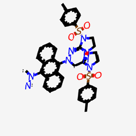 [CH]N([N])c1c2ccccc2c(N([CH]C2=NCCN2S(=O)(=O)c2ccc(C)cc2)N=C2NCCN2S(=O)(=O)c2ccc(C)cc2)c2ccccc12